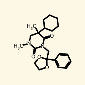 CN1CC(C)(C2CCCCC2)C(=O)N(CC2(c3ccccc3)OCCO2)C1=O